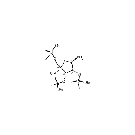 B[C@@H]1O[C@](C=O)(CO[Si](C)(C)C(C)(C)C)[C@@H](O[Si](C)(C)C(C)(C)C)[C@H]1O[Si](C)(C)C(C)(C)C